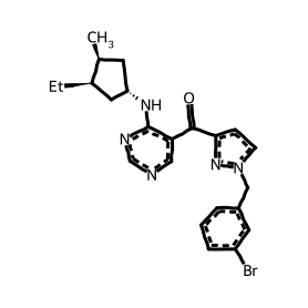 CC[C@@H]1C[C@@H](Nc2ncncc2C(=O)c2ccn(Cc3cccc(Br)c3)n2)C[C@@H]1C